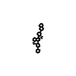 C[Si]1(C)c2cc(-c3ccc4ccccc4c3)ccc2-c2c1cc1c3c(cccc23)[Si](C)(C)c2cc(-c3ccccc3)ccc2-1